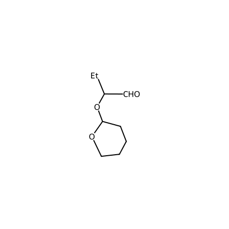 CCC(C=O)OC1CCCCO1